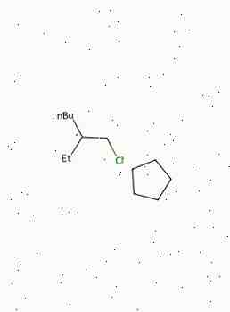 C1CCCC1.CCCCC(CC)CCl